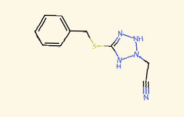 N#CCN1NN=C(SCc2ccccc2)N1